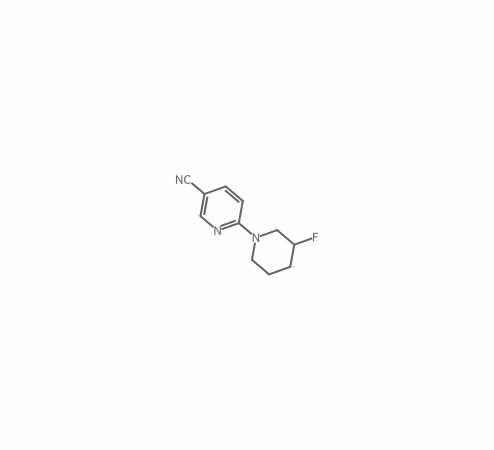 N#Cc1ccc(N2CC[CH]C(F)C2)nc1